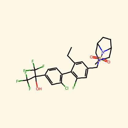 CCc1cc(CN2CC3CCC(C2)N3S(C)(=O)=O)cc(F)c1-c1ccc(C(O)(C(F)(F)F)C(F)(F)F)cc1Cl